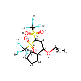 C=COC(CC(S(=O)(=O)C(F)(F)F)S(=O)(=O)C(F)(F)F)C1CCCC1